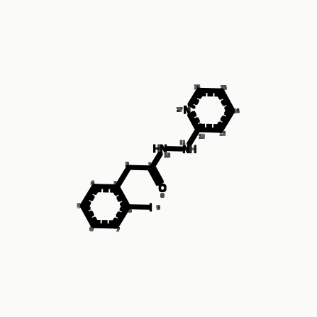 O=C(Cc1ccccc1I)NNc1ccccn1